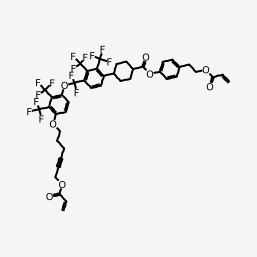 C=CC(=O)OCC#CCCCOc1ccc(OC(F)(F)c2ccc(C3CCC(C(=O)Oc4ccc(CCOC(=O)C=C)cc4)CC3)c(C(F)(F)F)c2C(F)(F)F)c(C(F)(F)F)c1C(F)(F)F